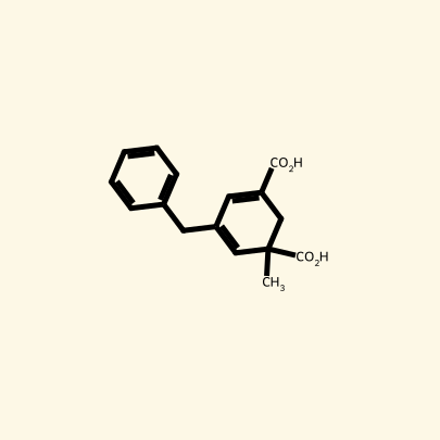 CC1(C(=O)O)C=C(Cc2ccccc2)C=C(C(=O)O)C1